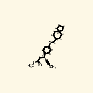 CC#C[C@@H](CC(=O)OC)c1ccc(OCC2CCC3(CCCC3)CC2)cc1